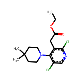 CCOC(=O)Cc1c(Cl)ncc(Br)c1N1CCC(C)(C)CC1